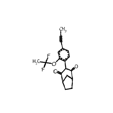 CC#Cc1ccc(C2C(=O)C3CCC(C3)C2=O)c(OC(C)(F)F)c1